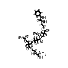 CC(C)OCC(C)(COC(=O)C(C)(C)C(C)(C)OCC(C)(COC(=O)C(C)C)C(=O)OCCNC(=N)N)C(=O)OCCNC(=O)Nc1ccccc1